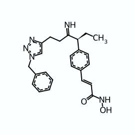 CC[C@H](C(=N)CCc1cn(Cc2ccccc2)nn1)c1ccc(/C=C/C(=O)NO)cc1